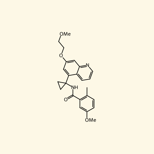 COCCOc1cc(C2(NC(=O)c3cc(OC)ccc3C)CC2)c2cccnc2c1